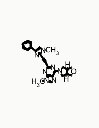 Cn1cc(-c2ccccc2)nc1C#Cc1nc(N2C[C@H]3COC[C@H]3C2)c2ncn(C)c2n1